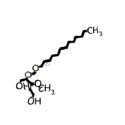 CCCCCCCCCC/C=C/COCOC(CO)[C@H](CCO)OC